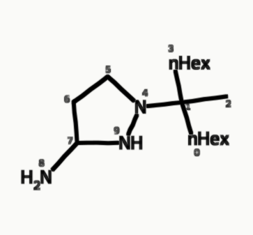 CCCCCCC(C)(CCCCCC)N1CCC(N)N1